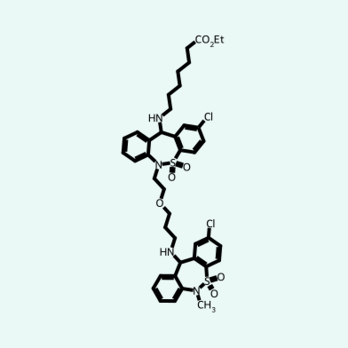 CCOC(=O)CCCCCCNC1c2ccccc2N(CCOCCCNC2c3ccccc3N(C)S(=O)(=O)c3ccc(Cl)cc32)S(=O)(=O)c2ccc(Cl)cc21